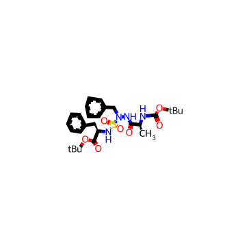 C[C@H](NC(=O)OC(C)(C)C)C(=O)NN(Cc1ccccc1)S(=O)(=O)N[C@H](Cc1ccccc1)C(=O)OC(C)(C)C